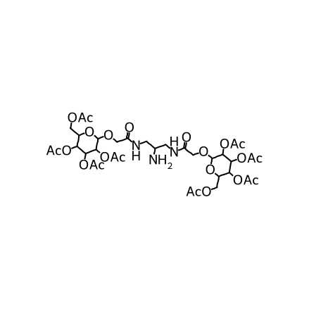 CC(=O)OCC1OC(OCC(=O)NCC(N)CNC(=O)COC2OC(COC(C)=O)C(OC(C)=O)C(OC(C)=O)C2OC(C)=O)C(OC(C)=O)C(OC(C)=O)C1OC(C)=O